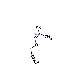 C#CCO/C=C(\C)C#N